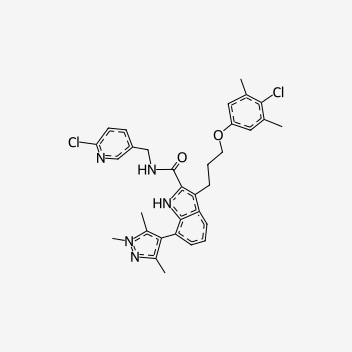 Cc1cc(OCCCc2c(C(=O)NCc3ccc(Cl)nc3)[nH]c3c(-c4c(C)nn(C)c4C)cccc23)cc(C)c1Cl